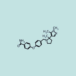 Cc1c(C2(C)CCCN2Cc2ccc(Oc3ccc(C(N)=O)cc3)cc2)cnn1C